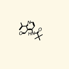 C=C(C)c1nccc(NC(=O)C(C)(C)C)c1C=O